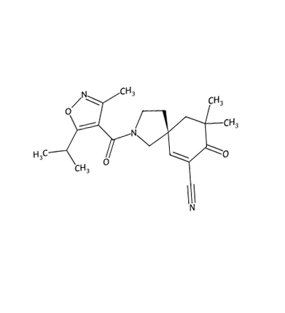 Cc1noc(C(C)C)c1C(=O)N1CC[C@@]2(C=C(C#N)C(=O)C(C)(C)C2)C1